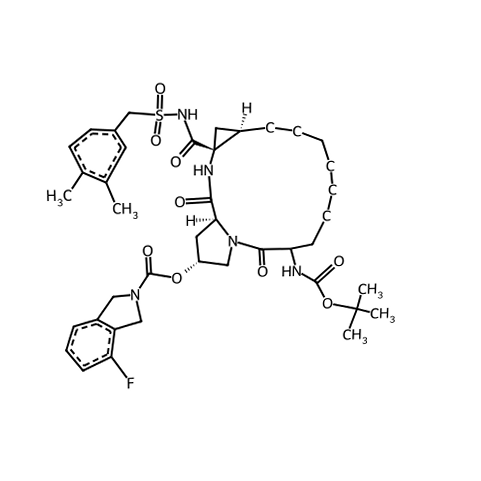 Cc1ccc(CS(=O)(=O)NC(=O)[C@@]23C[C@H]2CCCCCCCC(NC(=O)OC(C)(C)C)C(=O)N2C[C@H](OC(=O)N4Cc5cccc(F)c5C4)C[C@H]2C(=O)N3)cc1C